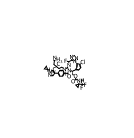 CC(C)(CC#N)CCN/C1=N\C(F)c2ncnn2-c2cc(ccc2Cl)[C@@H](COC(=O)NC2(C(F)(F)F)CC2)N1C(=O)c1ccc(-c2cnn(C3CC3)c2)cc1